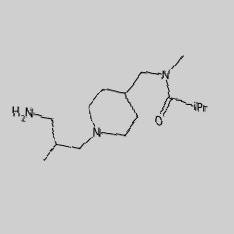 CC(CN)CN1CCC(CN(C)C(=O)C(C)C)CC1